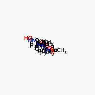 CN[C@H](C(=O)N[C@H](C(=O)N(C)[C@H](/C=C(\C)C(=O)NS(=O)(=O)c1ccc(C)cc1)C(C)C)C(C)(C)C)C(C)(C)c1cccc(NCCO)c1